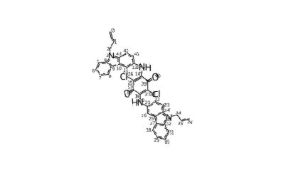 C=CCn1c2ccccc2c2cc(NC3=C(Cl)C(=O)C(Nc4ccc5c(c4)c4ccccc4n5CC=C)=C(Cl)C3=O)ccc21